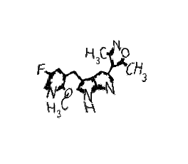 COc1ncc(F)cc1Cc1c[nH]c2ncc(-c3c(C)noc3C)cc12